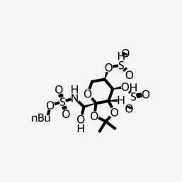 CCCCOS(=O)(=O)NC(O)[C@@]12OC[C@@H](O[SH](=O)=O)[C@@H](O[SH](=O)=O)[C@@H]1OC(C)(C)O2